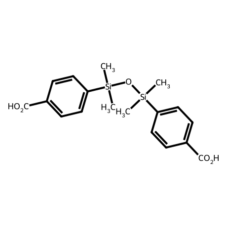 C[Si](C)(O[Si](C)(C)c1ccc(C(=O)O)cc1)c1ccc(C(=O)O)cc1